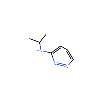 CC(C)Nc1cccnn1